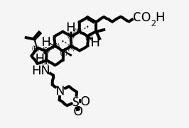 C=C(C)[C@@H]1CC[C@]2(NCCN3CCS(=O)(=O)CC3)CC[C@]3(C)[C@H](CC[C@@H]4[C@@]5(C)CC=C(CCCCC(=O)O)C(C)(C)[C@@H]5CC[C@]43C)[C@@H]12